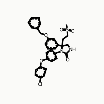 CS(=O)(=O)CCC1(c2cccc(OCc3ccccc3)c2)CNC(=O)N1c1ccc(Oc2ccc(Cl)cc2)cc1